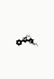 Cn1nc(-c2ccccc2)cc1-c1ccc(N)s1